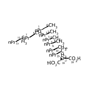 CCCC.CCCC.CCCC.CCCC.CCCC.CCCC.CCCC.CCCC.O=C(O)OC(=O)O